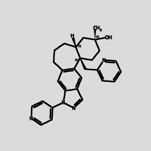 C[C@]1(O)CC[C@]2(Cc3ccccn3)c3cc4cnn(-c5ccncc5)c4cc3CCC[C@@H]2C1